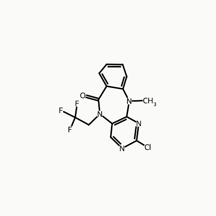 CN1c2ccccc2C(=O)N(CC(F)(F)F)c2cnc(Cl)nc21